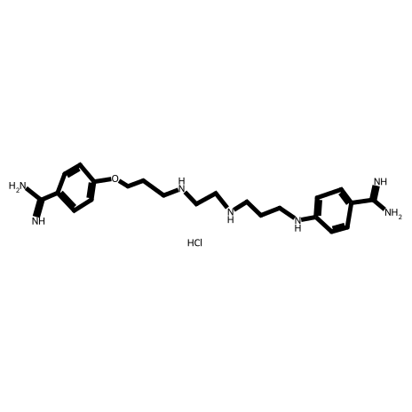 Cl.N=C(N)c1ccc(NCCCNCCNCCCOc2ccc(C(=N)N)cc2)cc1